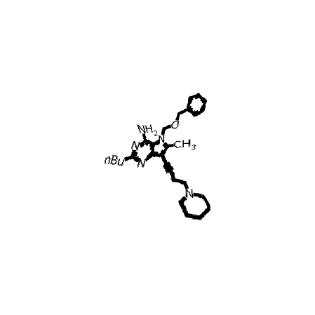 CCCCc1nc(N)c2c(n1)c(C#CCCN1CCCCC1)c(C)n2COCc1ccccc1